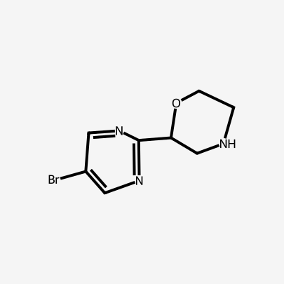 Brc1cnc(C2CNCCO2)nc1